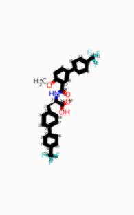 COc1ccc(-c2ccc(C(F)(F)F)cc2)cc1C(=O)N[C@H](Cc1ccc(-c2ccc(C(F)(F)F)cc2)cc1)C(=O)O